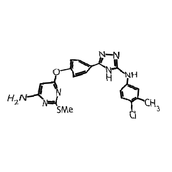 CSc1nc(N)cc(Oc2ccc(-c3nnc(Nc4ccc(Cl)c(C)c4)[nH]3)cc2)n1